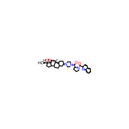 C#C[C@]1(O)CCC2C3CCC4C[C@@H](N5CCN(C(=O)[C@@H]6CCCN6C(=O)c6ccc7ccccc7n6)CC5)CC[C@]4(C)C3CC[C@@]21C